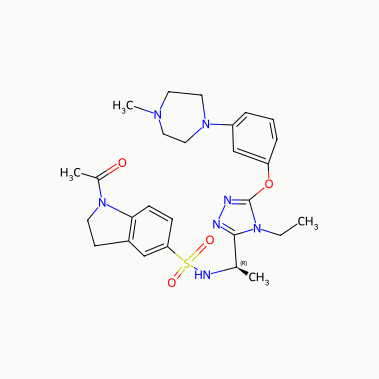 CCn1c(Oc2cccc(N3CCN(C)CC3)c2)nnc1[C@@H](C)NS(=O)(=O)c1ccc2c(c1)CCN2C(C)=O